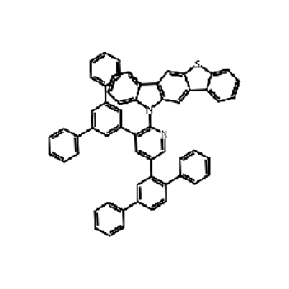 c1ccc(-c2cc(-c3ccccc3)cc(-c3cc(-c4cc(-c5ccccc5)ccc4-c4ccccc4)cnc3-n3c4ccccc4c4cc5sc6ccccc6c5cc43)c2)cc1